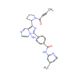 CC#CC(=O)N1CCCC1C1=C2C=NC=C[N+]2(N)C(c2ccc(C(=O)Nc3cc(C)ccn3)cc2)=N1